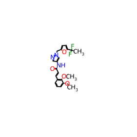 COc1cccc(C=CC(=O)Nc2cnn(Cc3ccc(C(C)(F)F)o3)c2)c1OC